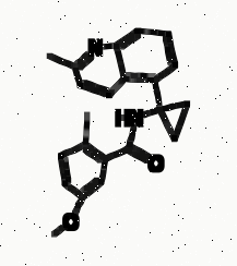 COc1ccc(C)c(C(=O)NC2(c3cccc4nc(C)ccc34)CC2)c1